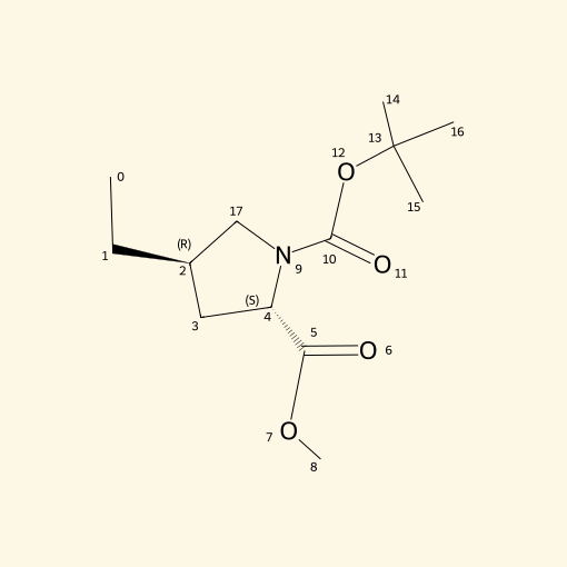 CC[C@@H]1C[C@@H](C(=O)OC)N(C(=O)OC(C)(C)C)C1